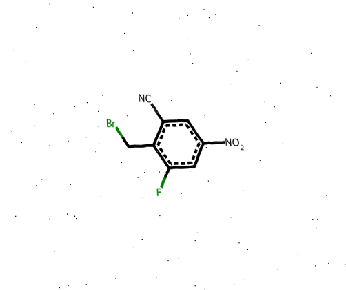 N#Cc1cc([N+](=O)[O-])cc(F)c1CBr